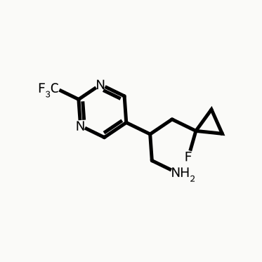 NCC(CC1(F)CC1)c1cnc(C(F)(F)F)nc1